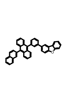 c1cc(-c2ccc3oc4ccccc4c3c2)cc(-c2c3ccccc3c(-c3ccc4ccccc4c3)c3ccccc23)c1